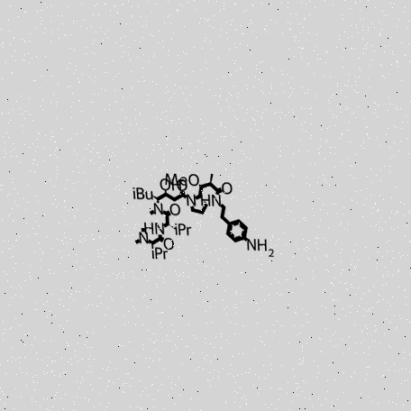 CC[C@H](C)[C@@H]([C@H](O)CC(=O)N1CCC[C@H]1[C@H](OC)[C@@H](C)C(=O)NCCc1ccc(N)cc1)N(C)C(=O)[C@@H](NC(=O)[C@H](C(C)C)N(C)C)C(C)C